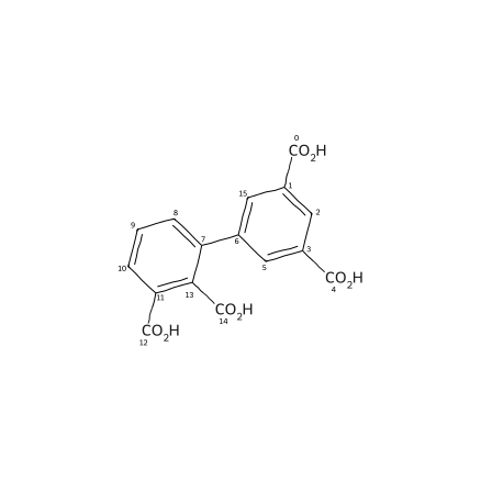 O=C(O)c1cc(C(=O)O)cc(-c2cccc(C(=O)O)c2C(=O)O)c1